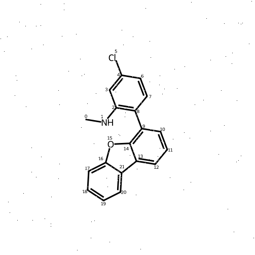 CNc1cc(Cl)ccc1-c1cccc2c1oc1ccccc12